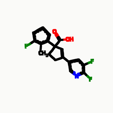 Cc1c(F)cccc1C1(C(=O)O)C=C(c2cnc(F)c(F)c2)CC1